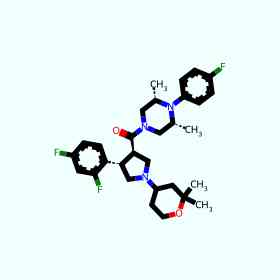 C[C@@H]1CN(C(=O)[C@H]2CN(C3CCOC(C)(C)C3)C[C@@H]2c2ccc(F)cc2F)C[C@H](C)N1c1ccc(F)cc1